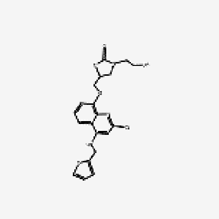 O=C1OC(COc2cccc3c(NCc4ccco4)cc(Cl)nc23)CN1CCO